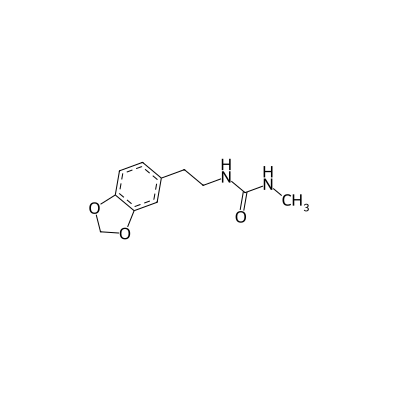 CNC(=O)NCCc1ccc2c(c1)OCO2